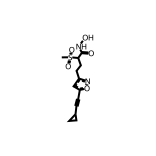 CS(=O)(=O)C(CCc1cc(C#CC2CC2)on1)C(=O)NO